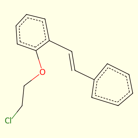 ClCCOc1ccccc1C=Cc1ccccc1